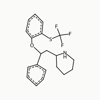 FC(F)(F)Sc1ccccc1OC(CC1CCCCN1)c1ccccc1